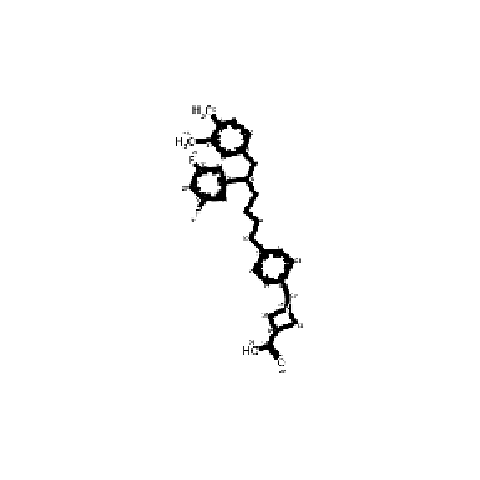 Cc1ccc(CC(CCCCc2ccc(CN3CC(C(=O)O)C3)cc2)c2cc(F)cc(F)c2)cc1C